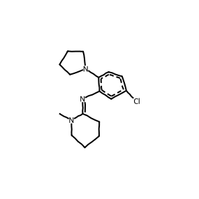 CN1CCCC/C1=N\c1cc(Cl)ccc1N1CCCC1